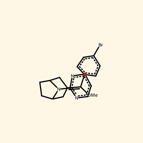 COC(=C1CC2CCC(C1)N2c1ncccn1)c1ccc(Br)cc1